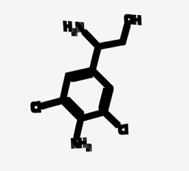 Nc1c(Cl)cc(C(N)CO)cc1Cl